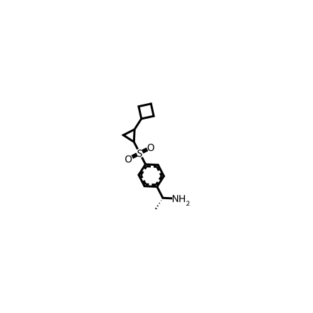 C[C@@H](N)c1ccc(S(=O)(=O)C2CC2C2CCC2)cc1